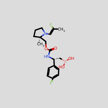 CC(F)=CN1CCC[C@]1(C)COC(=O)N[C@H](CB(O)O)c1ccc(F)cc1